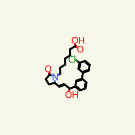 O=C(O)CCCCCCN1C(=O)CCC1C=CC(O)c1cccc(-c2cccc(Cl)c2)c1